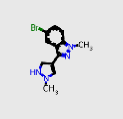 CN1C=C(c2nn(C)c3ccc(Br)cc23)CN1